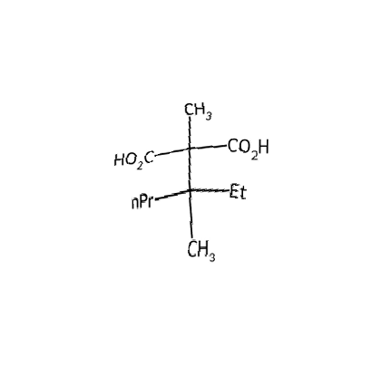 CCCC(C)(CC)C(C)(C(=O)O)C(=O)O